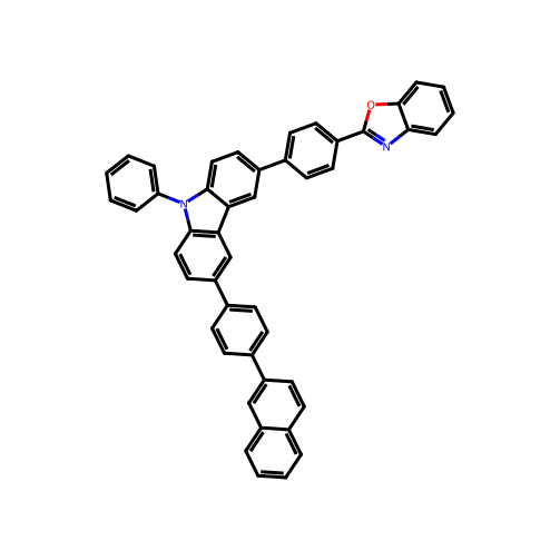 c1ccc(-n2c3ccc(-c4ccc(-c5ccc6ccccc6c5)cc4)cc3c3cc(-c4ccc(-c5nc6ccccc6o5)cc4)ccc32)cc1